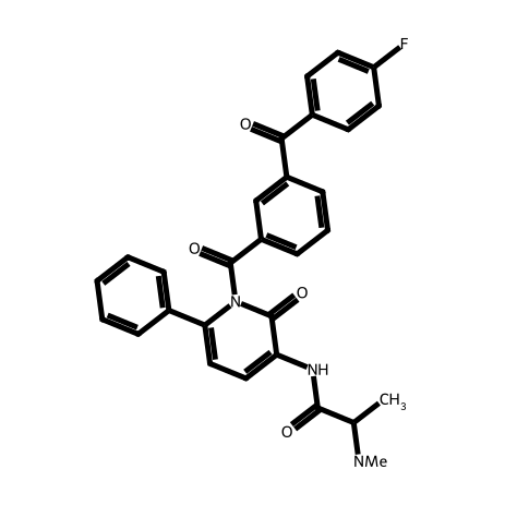 CNC(C)C(=O)Nc1ccc(-c2ccccc2)n(C(=O)c2cccc(C(=O)c3ccc(F)cc3)c2)c1=O